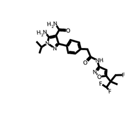 CC(C)n1nc(-c2ccc(CC(=O)Nc3cc(C(C)(CF)C(F)F)on3)cc2)c(C(N)=O)c1N